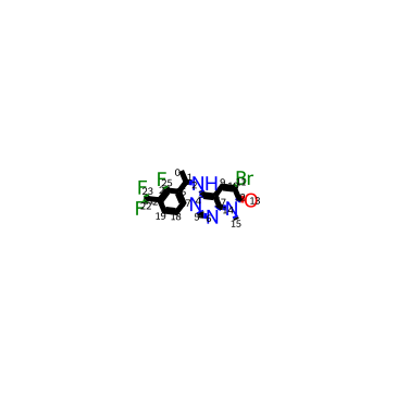 CC(Nc1ncnc2c1cc(Br)c(=O)n2C)c1cccc(C(F)F)c1F